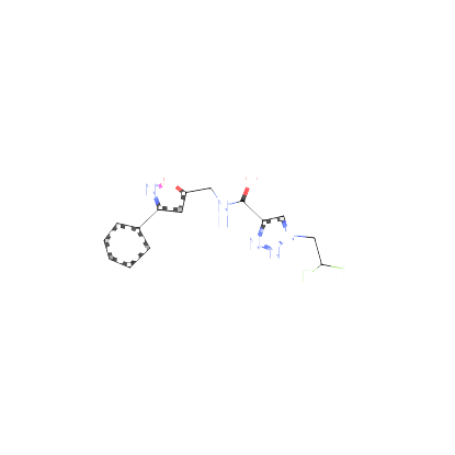 O=C(NCc1cc(-c2ccccc2)no1)c1cn(CC(F)F)nn1